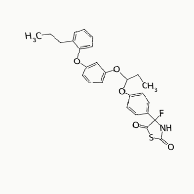 CCCc1ccccc1Oc1cccc(OC(CC)Oc2ccc(C3(F)NC(=O)SC3=O)cc2)c1